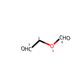 O=[C]OCC=O